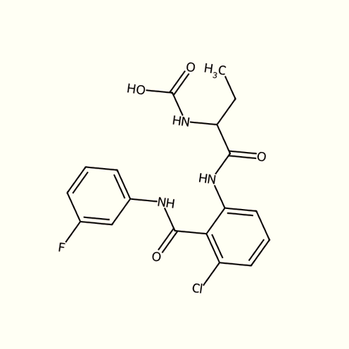 CCC(NC(=O)O)C(=O)Nc1cccc(Cl)c1C(=O)Nc1cccc(F)c1